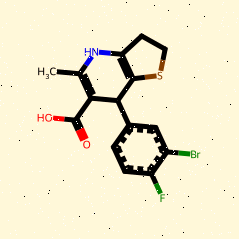 CC1=C(C(=O)O)C(c2ccc(F)c(Br)c2)C2=C(CCS2)N1